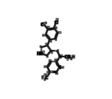 O=C(O)N(CC1CNCC1c1ccc(Cl)c(Cl)c1)c1ccc(C(F)(F)F)cn1